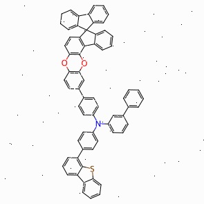 C1=C2C(=CCC1)C1(c3ccccc32)c2ccccc2-c2c1ccc1c2Oc2cc(-c3ccc(N(c4ccc(-c5cccc6c5sc5ccccc56)cc4)c4cccc(-c5ccccc5)c4)cc3)ccc2O1